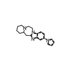 c1ccn(-c2ccc3c(c2)nc2n3CCN3CCCCC3C2)c1